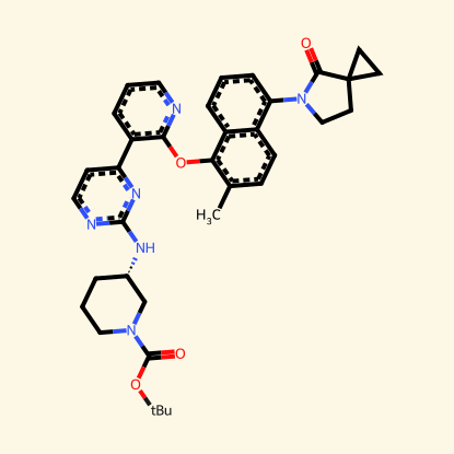 Cc1ccc2c(N3CCC4(CC4)C3=O)cccc2c1Oc1ncccc1-c1ccnc(N[C@H]2CCCN(C(=O)OC(C)(C)C)C2)n1